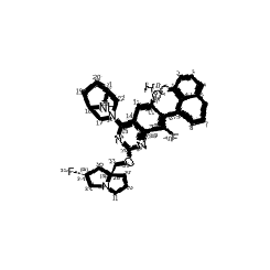 Cc1cccc2cccc(-c3c(Cl)cc4c(N5CC6CCC(C5)N6)nc(OC[C@@]56CCCN5C[C@H](F)C6)nc4c3F)c12